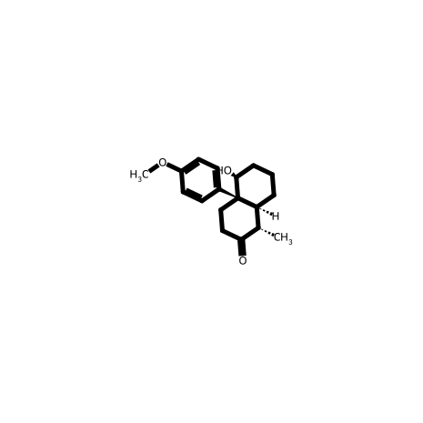 COc1ccc([C@]23CCC(=O)[C@@H](C)[C@@H]2CCC[C@@H]3O)cc1